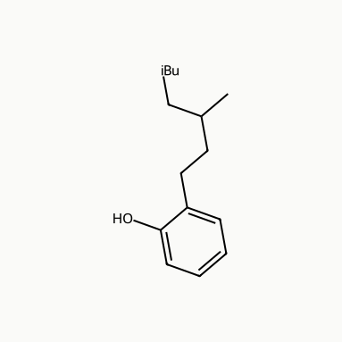 CCC(C)CC(C)CCc1ccccc1O